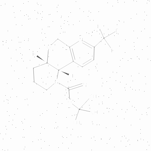 CC(C)(C)OC(=O)N1CCC[C@@H]2OCc3nc(C(F)(F)F)ccc3[C@@H]21